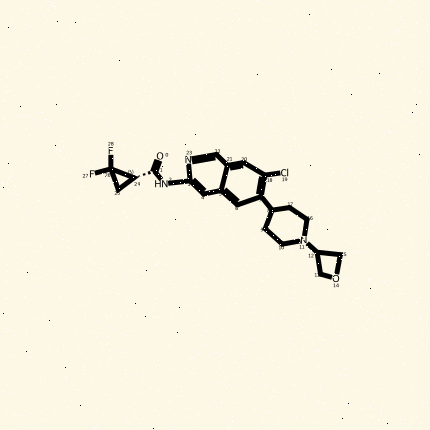 O=C(Nc1cc2cc(C3CCN(C4COC4)CC3)c(Cl)cc2cn1)[C@@H]1CC1(F)F